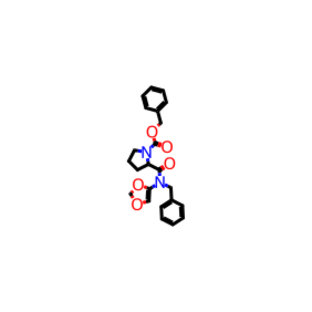 O=C(C1CCCN1C(=O)OCc1ccccc1)N(Cc1ccccc1)C1=COCO1